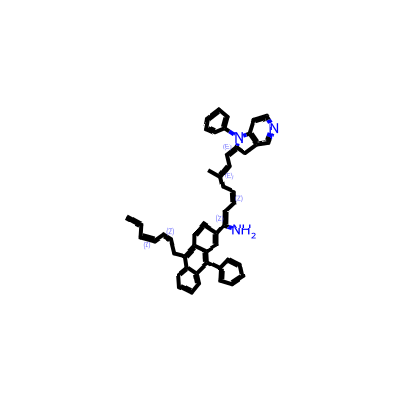 C=C/C=C\C=C/Cc1c2ccccc2c(-c2ccccc2)c2cc(/C(N)=C/C=C\C/C(C)=C/C=C3\Cc4cnccc4N3c3ccccc3)ccc12